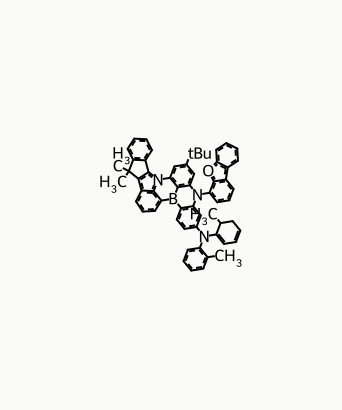 Cc1ccccc1N(C1=CC=CCC1C)c1ccc2c(c1)N(c1cccc3c1oc1ccccc13)c1cc(C(C)(C)C)cc3c1B2c1cccc2c4c(n-3c12)-c1ccccc1C4(C)C